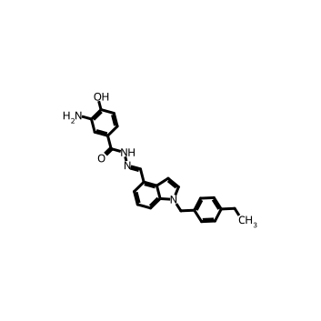 CCc1ccc(Cn2ccc3c(/C=N/NC(=O)c4ccc(O)c(N)c4)cccc32)cc1